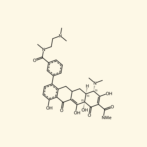 CNC(=O)C1=C(O)[C@@H](N(C)C)[C@@H]2CC3Cc4c(-c5cccc(C(=O)N(C)CCN(C)C)c5)ccc(O)c4C(=O)C3=C(O)[C@]2(O)C1=O